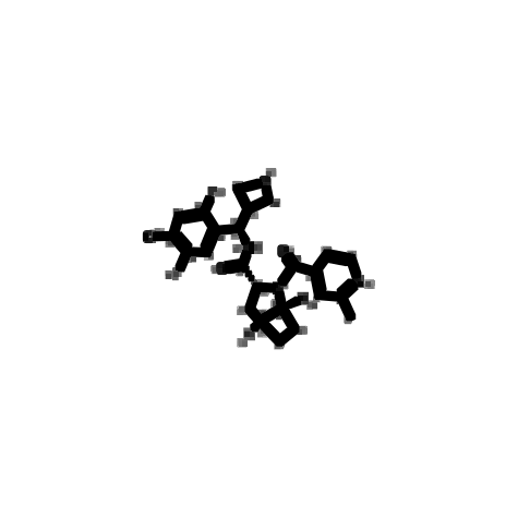 Cc1cc(C(=O)N2[C@@H](C(=O)N[C@@H](c3cc(F)c(Cl)cc3F)C3COC3)C[C@H]3CC[C@H]32)ccn1